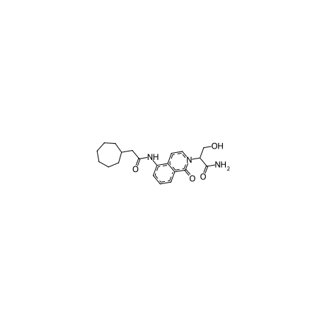 NC(=O)C(CO)n1ccc2c(NC(=O)CC3CCCCCC3)cccc2c1=O